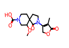 COC1CN(C(=O)O)CCC12CCN(C1=C(C)C(=O)OC1)C2=O